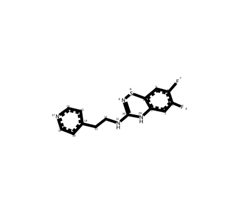 Fc1cc2c(cc1F)SN=C(NCCc1ccncc1)N2